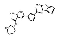 Nc1ncc(-c2cccc(C(=O)N[C@H]3c4ccccc4C[C@@H]3O)c2)nc1C(=O)N[C@H]1CCCCNC1